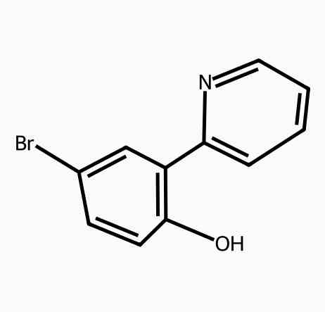 Oc1ccc(Br)cc1-c1ccccn1